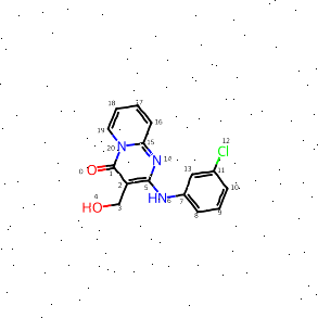 O=c1c(CO)c(Nc2cccc(Cl)c2)nc2ccccn12